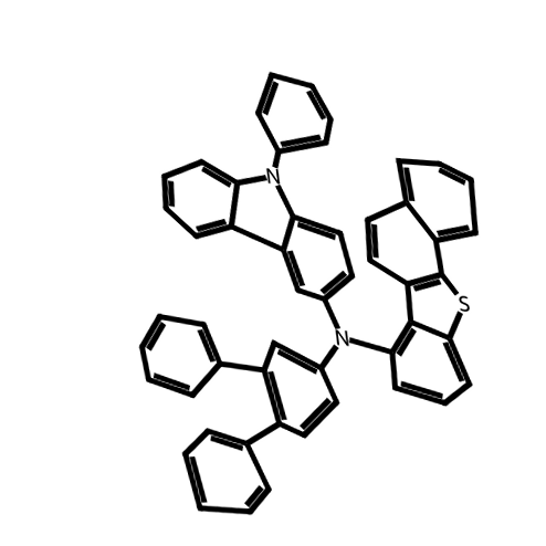 c1ccc(-c2ccc(N(c3ccc4c(c3)c3ccccc3n4-c3ccccc3)c3cccc4sc5c6ccccc6ccc5c34)cc2-c2ccccc2)cc1